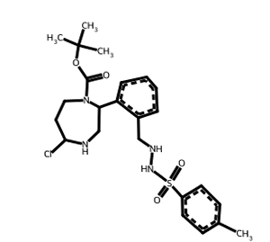 Cc1ccc(S(=O)(=O)NNCc2ccccc2C2CNC(Cl)CCN2C(=O)OC(C)(C)C)cc1